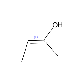 C/C=C(\C)O